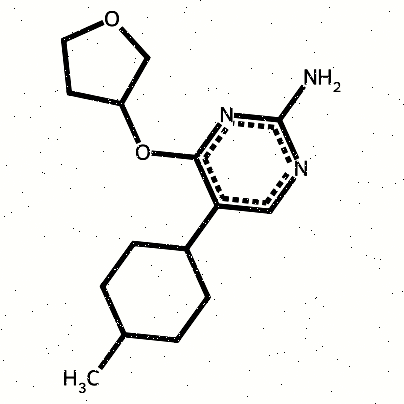 CC1CCC(c2cnc(N)nc2OC2CCOC2)CC1